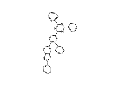 c1ccc(-c2nc(-c3ccccc3)nc(-c3ccc(-c4ccc5nc(-c6ccccc6)oc5c4)c(-c4ccccc4)c3)n2)cc1